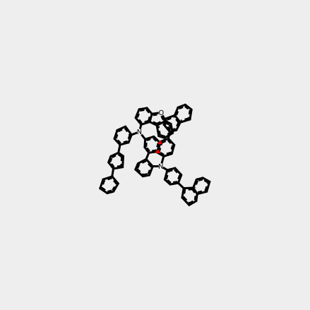 c1ccc(-c2ccc(-c3cccc(N(c4cccc(-c5ccccc5N(c5ccc(-c6ccc7ccccc7c6)cc5)c5ccc(-c6cccc7ccccc67)cc5)c4)c4cccc5oc6ccccc6c45)c3)cc2)cc1